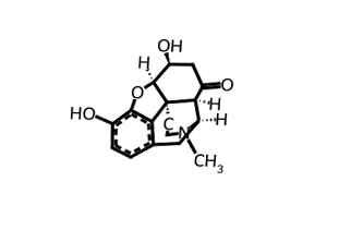 CN1CC[C@]23c4c5ccc(O)c4O[C@H]2[C@@H](O)CC(=O)[C@H]3[C@H]1C5